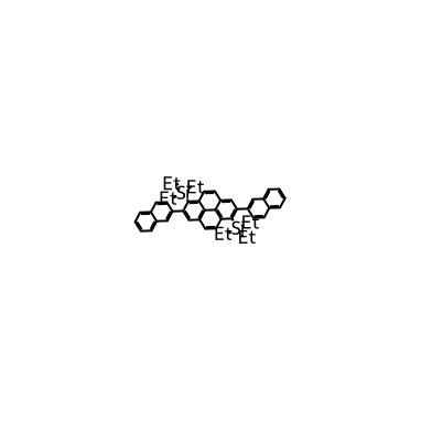 CC[Si](CC)(CC)c1c(-c2ccc3ccccc3c2)cc2ccc3c([Si](CC)(CC)CC)c(-c4ccc5ccccc5c4)cc4ccc1c2c43